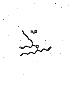 C=CCCC(CCCCC)OC(CCC=C)CCCCC.O